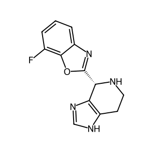 Fc1cccc2nc([C@@H]3NCCc4[nH]cnc43)oc12